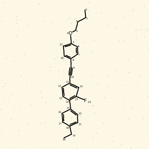 CCCCOc1ccc(C#Cc2ccc(-c3ccc(CC)cc3)c(F)c2)cc1